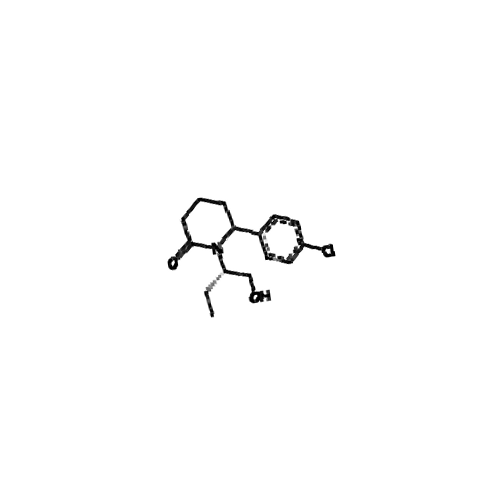 CC[C@@H](CO)N1C(=O)CCCC1c1ccc(Cl)cc1